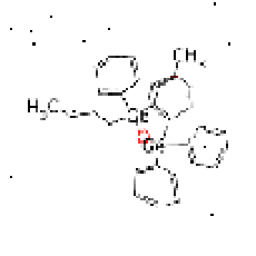 CCC[CH2][Ge]([CH2]CCC)([O][Ge]([c]1ccccc1)([c]1ccccc1)[c]1ccccc1)[c]1ccccc1